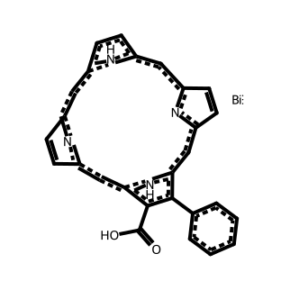 O=C(O)c1c(-c2ccccc2)c2cc3nc(cc4ccc(cc5nc(cc1[nH]2)C=C5)[nH]4)C=C3.[Bi]